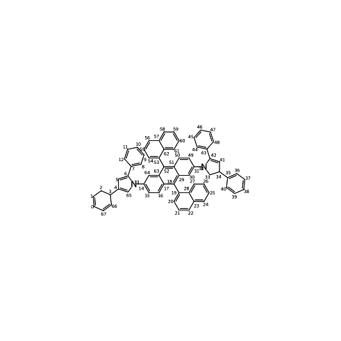 C1=CCC(c2cc(-c3ccccc3)n(-c3ccc4c(-c5cccc6ccccc56)c5cc(N6CC(c7ccccc7)C=C6c6ccccc6)ccc5c(-c5cccc6ccccc56)c4c3)c2)C=C1